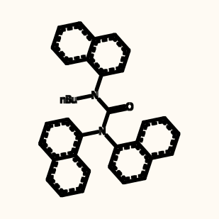 CCCCN(C(=O)N(c1cccc2ccccc12)c1cccc2ccccc12)c1cccc2ccccc12